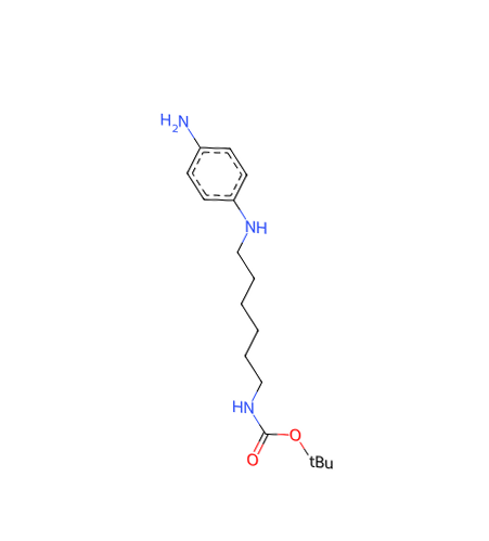 CC(C)(C)OC(=O)NCCCCCCNc1ccc(N)cc1